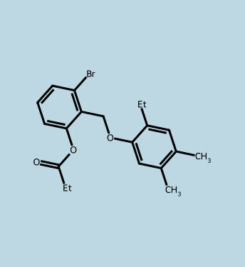 CCC(=O)Oc1cccc(Br)c1COc1cc(C)c(C)cc1CC